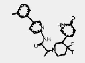 Cc1cccc(-c2ccc(NC(=O)C(C)N3CCC(F)(F)C(c4ccc(=O)[nH]c4)C3)nc2)c1